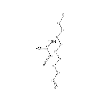 C=CCCCCCCCCC.O=C(O)C=S